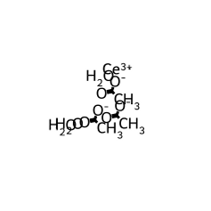 CC(=O)[O-].CC(=O)[O-].CC(=O)[O-].O.O.O.[Ce+3]